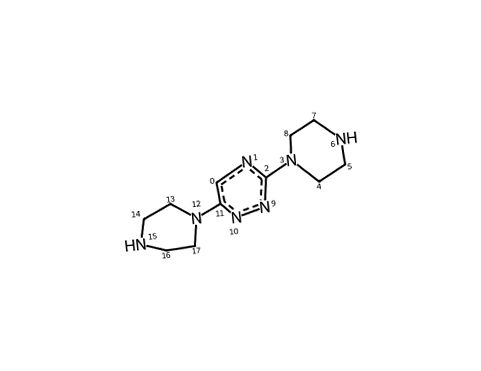 c1nc(N2CCNCC2)nnc1N1CCNCC1